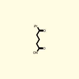 CC(C)C(=O)CCCC(=O)N=O